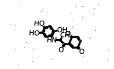 CC(Nc1cc(O)c(O)cc1O)C(=O)C1=CC(=O)C=CC1=O